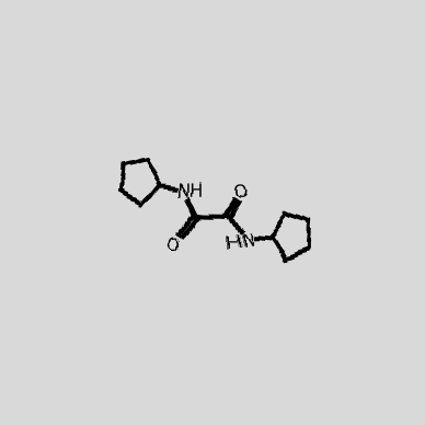 O=C(NC1CCCC1)C(=O)NC1CCCC1